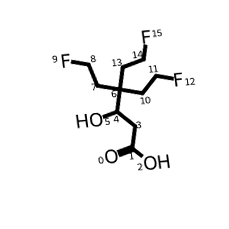 O=C(O)CC(O)C(CCF)(CCF)CCF